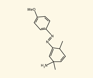 COc1ccc(/N=N/C2=CC(C)(N)C=CC2C)cc1